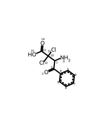 NC(C(=O)c1ccccc1)C(Cl)(Cl)C(=O)O